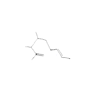 C/C=C/CCC(C)C(C)C(=O)O